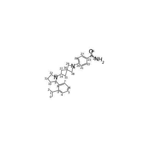 CC(C)c1ccccc1C1CCCN1C1CC2(C1)CN(c1ccc(C(N)=O)cc1)C2